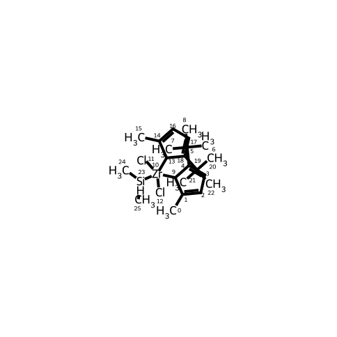 CC1=CC=C(C(C)(C)C)[CH]1[Zr]([Cl])([Cl])([CH]1C(C)=CC=C1C(C)(C)C)[SiH](C)C